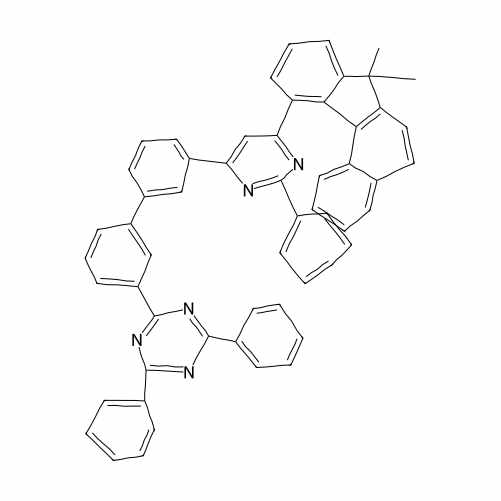 CC1(C)c2cccc(-c3cc(-c4cccc(-c5cccc(-c6nc(-c7ccccc7)nc(-c7ccccc7)n6)c5)c4)nc(-c4ccccc4)n3)c2-c2c1ccc1ccccc21